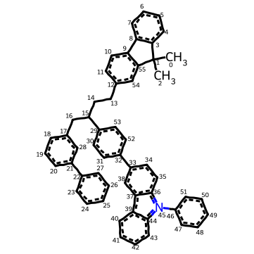 CC1(C)c2ccccc2-c2ccc(CCC(Cc3cccc(-c4ccccc4)c3)c3ccc(-c4ccc5c(c4)c4ccccc4n5-c4ccccc4)cc3)cc21